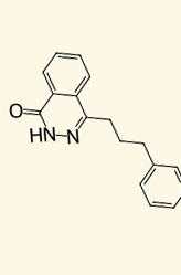 O=c1[nH]nc(CCCc2cccnc2)c2ccccc12